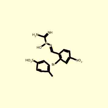 Cc1ccc(S(=O)(=O)O)cc1.N=C(N)N(O)/N=C/c1ccc([N+](=O)[O-])cc1Br